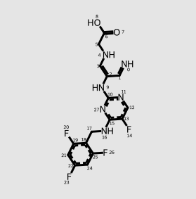 N=C/C(=C\NCC(=O)O)Nc1ncc(F)c(NCc2c(F)cc(F)cc2F)n1